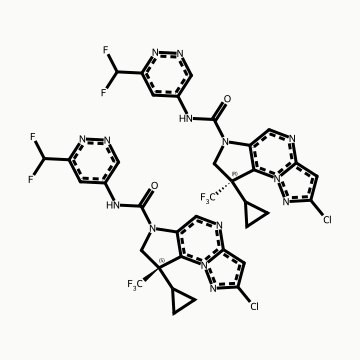 O=C(Nc1cnnc(C(F)F)c1)N1C[C@@](C2CC2)(C(F)(F)F)c2c1cnc1cc(Cl)nn21.O=C(Nc1cnnc(C(F)F)c1)N1C[C@](C2CC2)(C(F)(F)F)c2c1cnc1cc(Cl)nn21